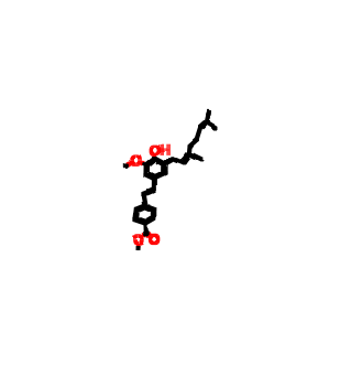 COC(=O)c1ccc(C=Cc2cc(CC=C(C)CCC=C(C)C)c(O)c(OC)c2)cc1